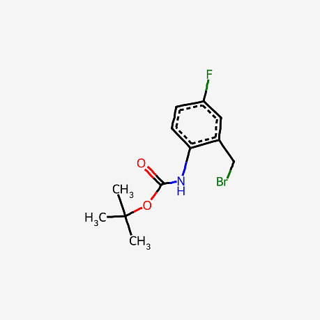 CC(C)(C)OC(=O)Nc1ccc(F)cc1CBr